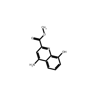 COC(=O)c1cc(N)c2cccc(O)c2n1